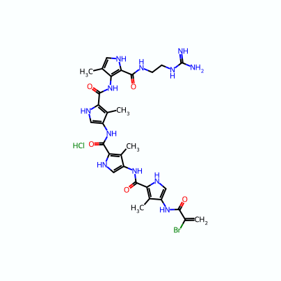 C=C(Br)C(=O)Nc1c[nH]c(C(=O)Nc2c[nH]c(C(=O)Nc3c[nH]c(C(=O)Nc4c(C)c[nH]c4C(=O)NCCNC(=N)N)c3C)c2C)c1C.Cl